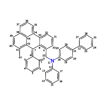 C=c1cccc/c1=c1/c2c(CN(c3ccccc3)c3ccc(-c4ccccc4)cc3)cccc2c2cccc3ccc(C)c1c32